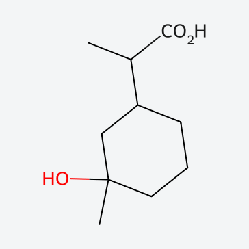 CC(C(=O)O)C1CCCC(C)(O)C1